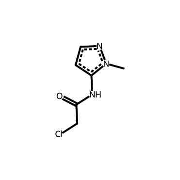 Cn1nccc1NC(=O)CCl